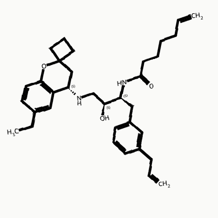 C=CCCCCC(=O)N[C@@H](Cc1cccc(CC=C)c1)[C@@H](O)CN[C@H]1CC2(CCC2)Oc2ccc(CC)cc21